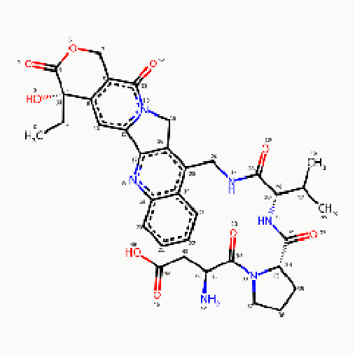 CC[C@@]1(O)C(=O)OCc2c1cc1n(c2=O)Cc2c-1nc1ccccc1c2CNC(=O)[C@@H](NC(=O)[C@@H]1CCCN1C(=O)[C@@H](N)CC(=O)O)C(C)C